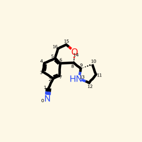 N#Cc1ccc2c(c1)[C@@H]([C@@H]1CCCN1)OCC2